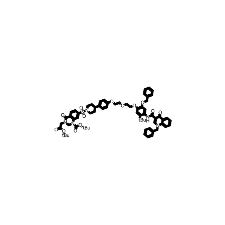 CC(C)(C)OC(=O)CN1CN(C(=O)OC(C)(C)C)c2cc(S(=O)(=O)N3CCC(c4ccc(OCCOCCOc5cc(C(C)(C)C)c(NC(=O)c6cn(Cc7ccccc7)c7ccccc7c6=O)cc5OCc5ccccc5)cc4)CC3)ccc2C1=O